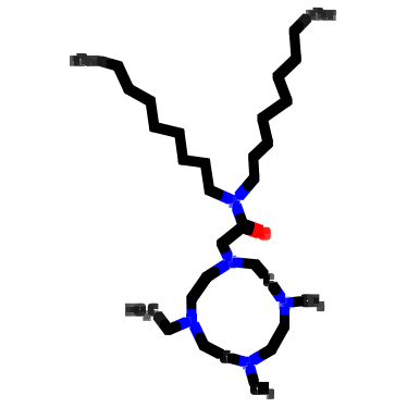 CCCCCCCCCCCCCCCCCCN(CCCCCCCCCCCCCCCCCC)C(=O)CN1CCN(C)CCN(C)CCN(CC(=O)O)CC1